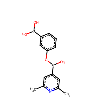 Cc1cc(B(O)Oc2cccc(B(O)O)c2)cc(C)n1